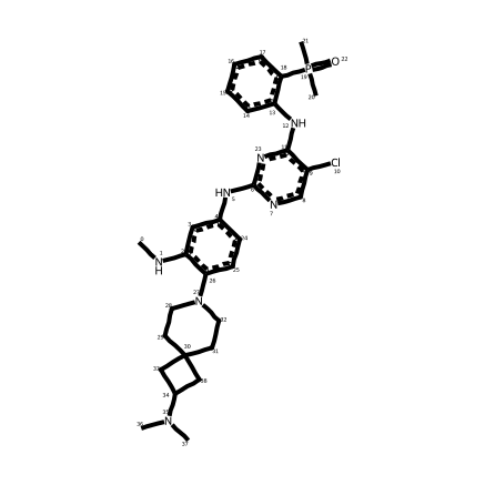 CNc1cc(Nc2ncc(Cl)c(Nc3ccccc3P(C)(C)=O)n2)ccc1N1CCC2(CC1)CC(N(C)C)C2